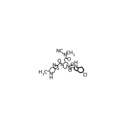 CC1Cc2nc(C(=O)N3CCN(S(=O)(=O)c4cc5cc(Cl)ccc5[nH]4)CC3CC(=O)N(C)CC#N)sc2CN1